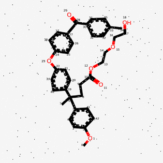 COc1ccc(C(C)(CCC(=O)OCCOCCO)c2ccc(Oc3ccc(C(=O)c4ccc(C)cc4)cc3)cc2)cc1